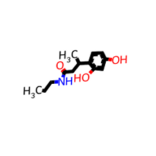 CCCNC(=O)CC(C)c1ccc(O)cc1O